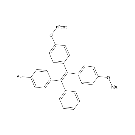 CCCCCOc1ccc(/C(=C(/c2ccccc2)c2ccc(C(C)=O)cc2)c2ccc(OCCCC)cc2)cc1